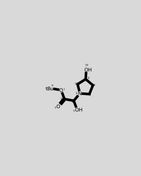 CC(C)(C)OC(=O)C(O)N1CCC(O)C1